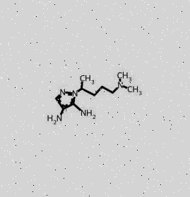 CC(CCCN(C)C)n1ncc(N)c1N